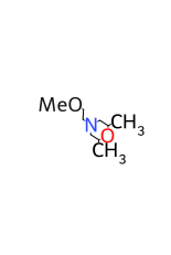 COCCN1CC(C)OC(C)C1